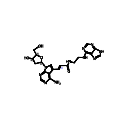 Nc1ncnc2c1c(/C=C/C(=O)NCCNc1ncnc3[nH]cnc13)cn2[C@H]1C[C@@H](O)[C@@H](CO)O1